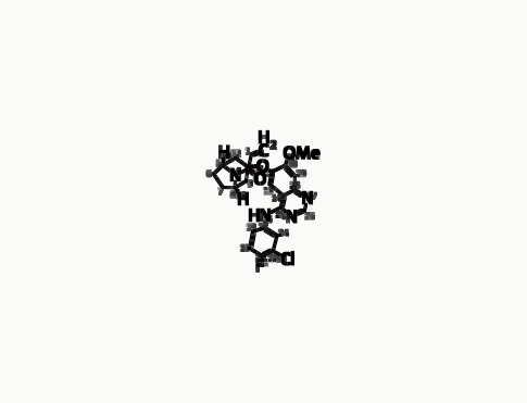 C=CC(=O)N1[C@@H]2CC[C@H]1C[C@H](Oc1cc3c(Nc4ccc(F)c(Cl)c4)ncnc3cc1OC)C2